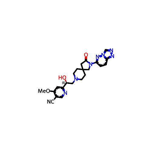 COc1cc([C@@H](O)CN2CCC3(CC2)CC(=O)N(c2ccc4nncn4n2)C3)ncc1C#N